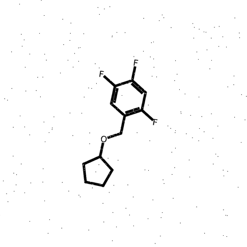 Fc1cc(F)c(COC2CCCC2)cc1F